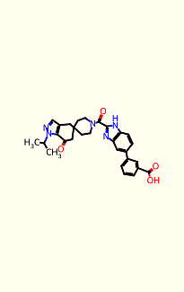 CC(C)n1ncc2c1C(=O)CC1(CCN(C(=O)c3nc4cc(-c5cccc(C(=O)O)c5)ccc4[nH]3)CC1)C2